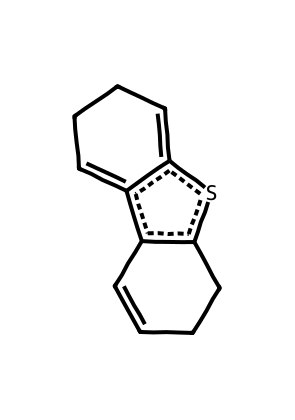 C1=Cc2c(sc3c2=CCCC=3)CC1